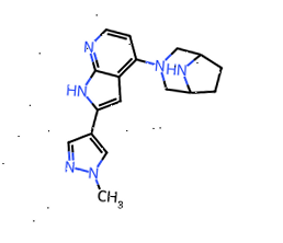 Cn1cc(-c2cc3c(N4CC5CCC(C4)N5)ccnc3[nH]2)cn1